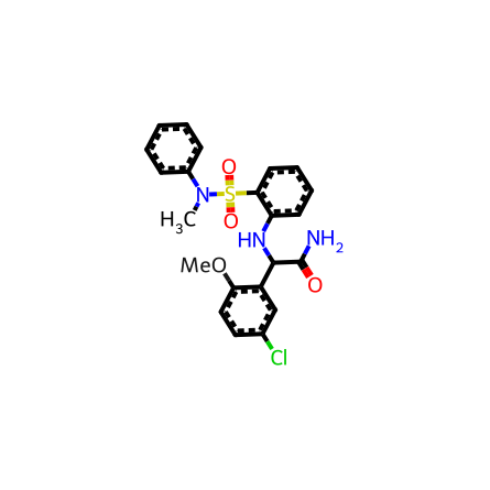 COc1ccc(Cl)cc1C(Nc1ccccc1S(=O)(=O)N(C)c1ccccc1)C(N)=O